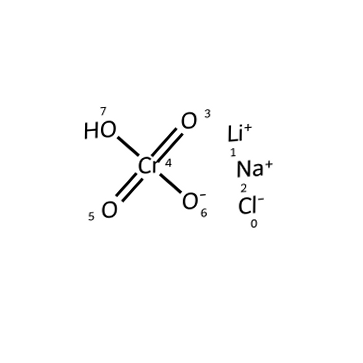 [Cl-].[Li+].[Na+].[O]=[Cr](=[O])([O-])[OH]